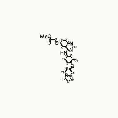 COC(=O)COc1ccc2ncnc(Nc3ccc(Oc4ccn5ccnc5c4)c(C)c3)c2c1